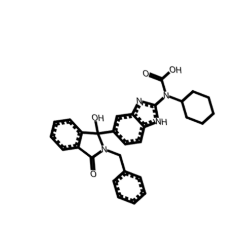 O=C(O)N(c1nc2cc(C3(O)c4ccccc4C(=O)N3Cc3ccccc3)ccc2[nH]1)C1CCCCC1